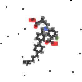 CCCCc1ccc(-c2ccc(CN(CC3CC3C(=O)O)c3ccc(F)c(C(=O)O)c3)cc2)cc1